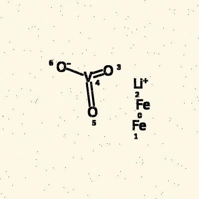 [Fe].[Fe].[Li+].[O]=[V](=[O])[O-]